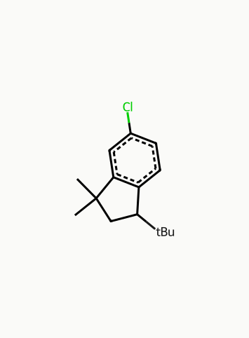 CC1(C)CC(C(C)(C)C)c2ccc(Cl)cc21